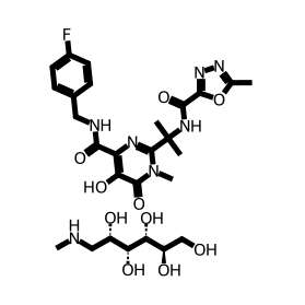 CNC[C@H](O)[C@@H](O)[C@H](O)[C@H](O)CO.Cc1nnc(C(=O)NC(C)(C)c2nc(C(=O)NCc3ccc(F)cc3)c(O)c(=O)n2C)o1